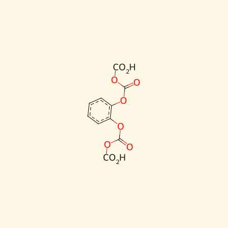 O=C(O)OC(=O)Oc1ccccc1OC(=O)OC(=O)O